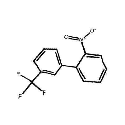 O=[N+]([O-])c1ccccc1-c1cc[c]c(C(F)(F)F)c1